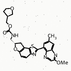 COc1cnc2c(-c3nc4ccc5c(c4s3)C[C@@H](CNC(=O)OCC3CCOC3)O5)cc(C)cc2n1